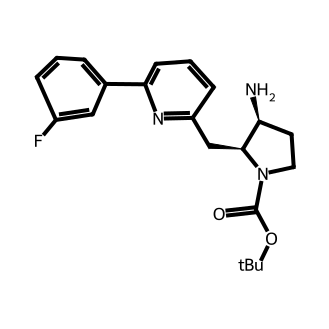 CC(C)(C)OC(=O)N1CC[C@H](N)[C@@H]1Cc1cccc(-c2cccc(F)c2)n1